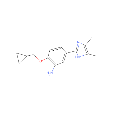 Cc1nc(-c2ccc(OCC3CC3)c(N)c2)[nH]c1C